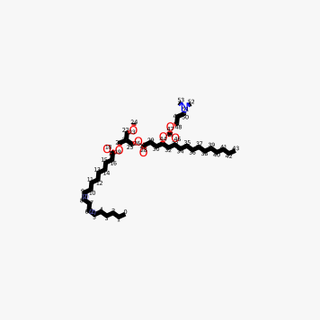 CCCCC/C=C\C/C=C\CCCCCCCC(=O)OCC(COC)COC(=O)CCC(CCCCCCCCCCCC)OC(=O)OCCCN(C)C